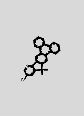 CC1(C)c2cc3c4ccccc4c4ccccc4c3cc2-c2ncc(Br)cc21